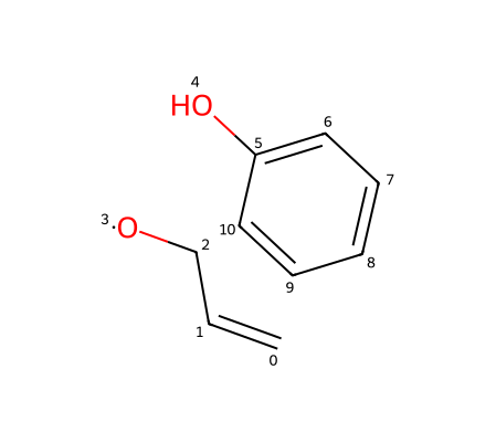 C=CC[O].Oc1ccccc1